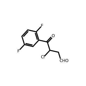 O=CCC(Cl)C(=O)c1cc(F)ccc1F